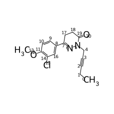 CCC#CCN1N=C(c2ccc(OC)c(Cl)c2)CCC1=O